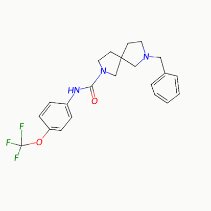 O=C(Nc1ccc(OC(F)(F)F)cc1)N1CCC2(CCN(Cc3ccccc3)C2)C1